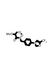 CCON(Cc1ccc(N2C=C(C(F)(F)F)OC2)cc1)C(=O)C(C)OC